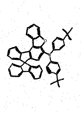 CC(C)(C)c1ccc(N(c2ccc(C(C)(C)C)cc2)c2cc3c(c4c2oc2ccccc24)-c2ccccc2C32c3ccccc3-c3ccccc32)cc1